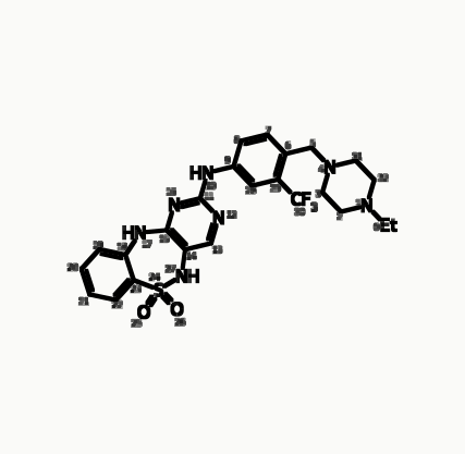 CCN1CCN(Cc2ccc(Nc3ncc4c(n3)Nc3ccccc3S(=O)(=O)N4)cc2C(F)(F)F)CC1